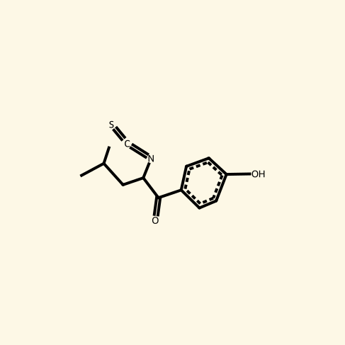 CC(C)CC(N=C=S)C(=O)c1ccc(O)cc1